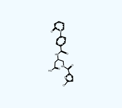 O=C(O)CC(CNC(=O)c1ccc(Cl)s1)NC(=O)c1ccc(-n2ccccc2=O)cc1